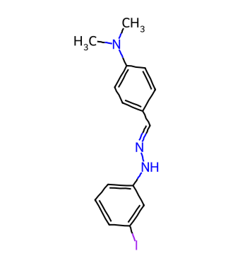 CN(C)c1ccc(C=NNc2cccc(I)c2)cc1